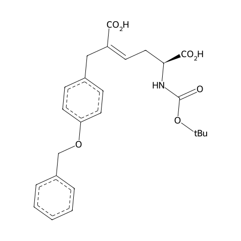 CC(C)(C)OC(=O)N[C@@H](CC=C(Cc1ccc(OCc2ccccc2)cc1)C(=O)O)C(=O)O